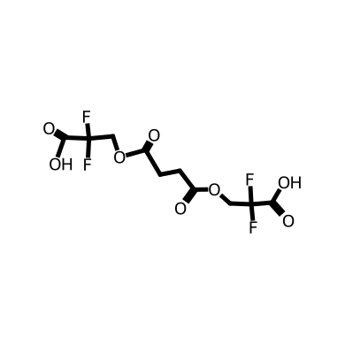 O=C(CCC(=O)OCC(F)(F)C(=O)O)OCC(F)(F)C(=O)O